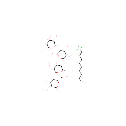 CC(=O)N[C@@H]1[C@@H](O)[C@H](O[C@@H]2O[C@H](C(=O)O)[C@@H](O[C@@H]3O[C@H](CO)[C@@H](O[C@H]4O[C@@H](C(=O)O)[C@H](O)[C@@H](O)[C@@H]4OS(=O)(=O)O)[C@H](OS(=O)(=O)O)[C@H]3NS(=O)(=O)O)[C@H](O)[C@H]2OS(=O)(=O)O)[C@H](COS(=O)(=O)O)O[C@H]1O.CCCCCCCCCCCCCCCCCC[Si](Cl)(Cl)Cl